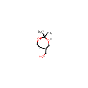 CC1(C)OCCC(CO)CO1